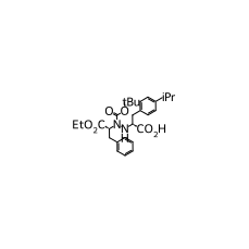 CCOC(=O)[C@H](Cc1ccccc1)N(N[C@@H](Cc1ccc(C(C)C)cc1)C(=O)O)C(=O)OC(C)(C)C